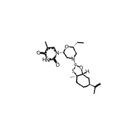 C=C(C)[C@H]1CC[C@@]2(C)S[P@](N3C[C@@H](CC)O[C@@H](n4cc(C)c(=O)[nH]c4=O)C3)O[C@@H]2C1